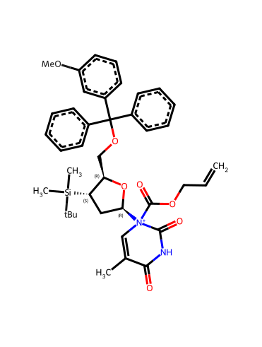 C=CCOC(=O)[N+]1([C@H]2C[C@H]([Si](C)(C)C(C)(C)C)[C@@H](COC(c3ccccc3)(c3ccccc3)c3cccc(OC)c3)O2)C=C(C)C(=O)NC1=O